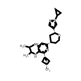 CC1Nc2cc([C@H]3CCO[C@@H](c4cnn(C5CC5)c4)C3)nc([C@]34C[C@](C(F)(F)F)(C3)C4)c2NC1C